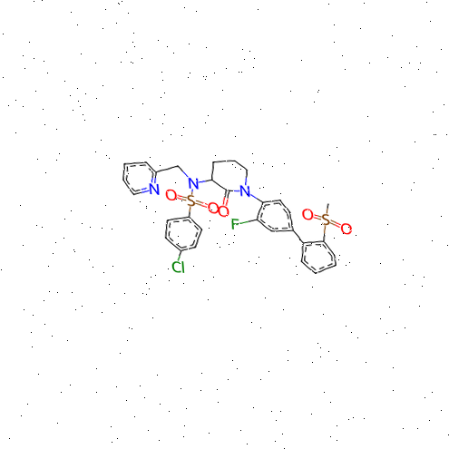 CS(=O)(=O)c1ccccc1-c1ccc(N2CCCC(N(Cc3ccccn3)S(=O)(=O)c3ccc(Cl)cc3)C2=O)c(F)c1